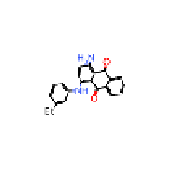 CCc1cccc(Nc2ccc(N)c3c2C(=O)c2ccccc2C3=O)c1